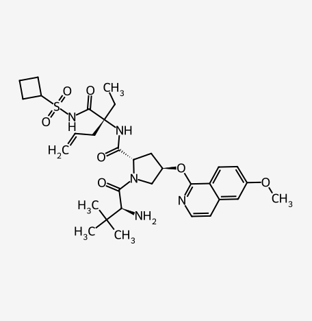 C=CC[C@@](CC)(NC(=O)[C@@H]1C[C@@H](Oc2nccc3cc(OC)ccc23)CN1C(=O)[C@@H](N)C(C)(C)C)C(=O)NS(=O)(=O)C1CCC1